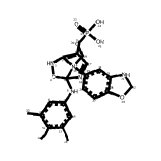 CC1=C2NOC(Nc3cc(C)c(C)c(C)c3)(N=C1)[N+]2(COP(=O)(O)O)c1ccc2c(c1)NCO2